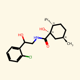 CC(C)[C@@H]1CC[C@@H](C)C[C@@]1(O)C(=O)NCC(O)c1ccccc1Cl